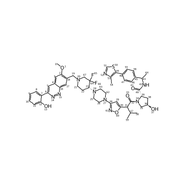 COc1cc2cc(-c3ccccc3O)nnc2cc1CN1CC[C@@H](N2CCN(c3cc(C(C(=O)N4C[C@H](O)C[C@H]4C(=O)NC(C)c4ccc(-c5scnc5C)cc4)C(C)C)on3)CC2)C(F)(F)C1